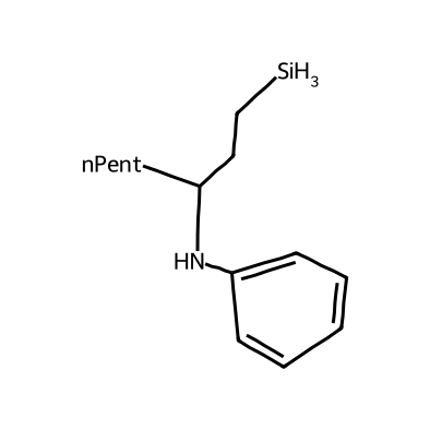 CCCCCC(CC[SiH3])Nc1ccccc1